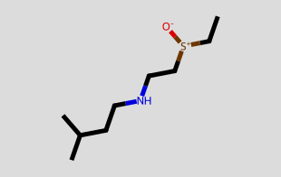 CC[S+]([O-])CCNCCC(C)C